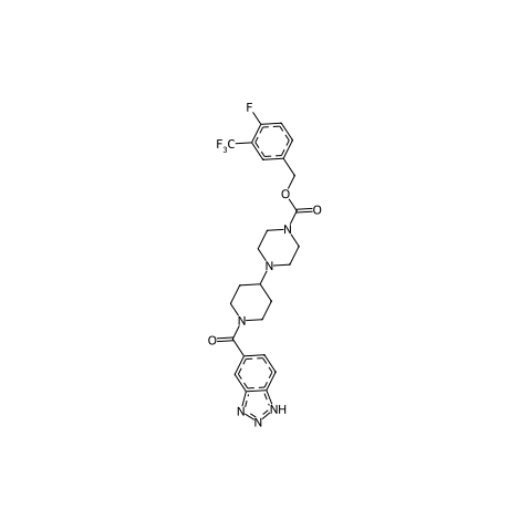 O=C(OCc1ccc(F)c(C(F)(F)F)c1)N1CCN(C2CCN(C(=O)c3ccc4[nH]nnc4c3)CC2)CC1